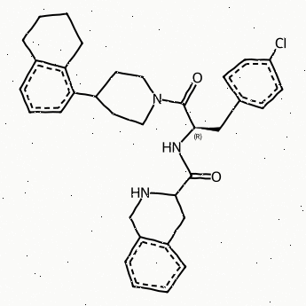 O=C(N[C@H](Cc1ccc(Cl)cc1)C(=O)N1CCC(c2cccc3c2CCCC3)CC1)C1Cc2ccccc2CN1